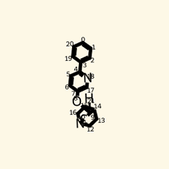 c1ccc(-c2ccc(O[C@H]3CN4CCC3CC4)cn2)cc1